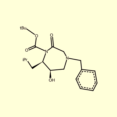 CC(C)C[C@@H]1[C@H](O)CN(Cc2ccccc2)CC(=O)N1C(=O)OC(C)(C)C